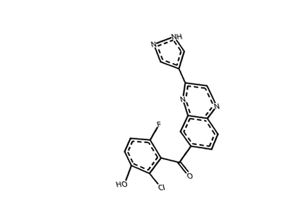 O=C(c1ccc2ncc(-c3cn[nH]c3)nc2c1)c1c(F)ccc(O)c1Cl